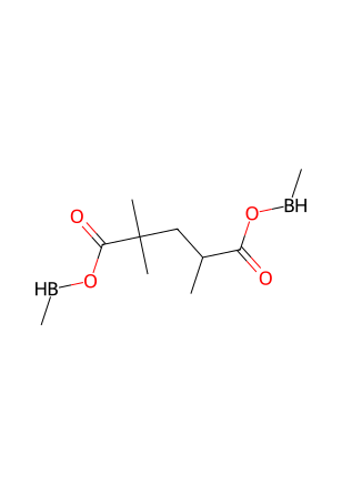 CBOC(=O)C(C)CC(C)(C)C(=O)OBC